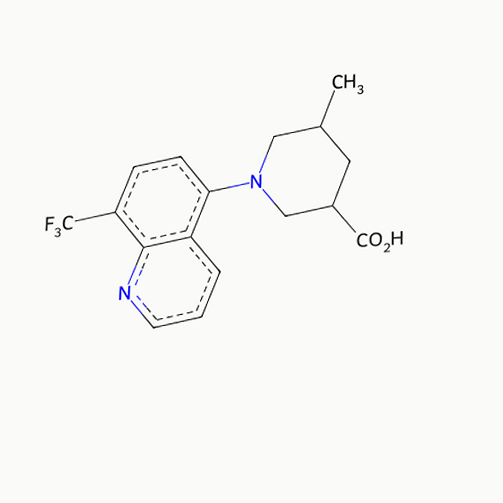 CC1CC(C(=O)O)CN(c2ccc(C(F)(F)F)c3ncccc23)C1